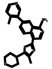 [CH2]c1nc(-c2cnc(N)c3cc(-c4cnccc4C)ccc23)sc1C1CCOCC1